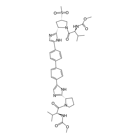 COC(=O)N[C@H](C(=O)N1CCC[C@H]1c1ncc(-c2ccc(-c3ccc(-c4cnc([C@@H]5C[C@H](S(C)(=O)=O)CN5C(=O)[C@@H](NC(=O)OC)C(C)C)[nH]4)cc3)cc2)[nH]1)C(C)C